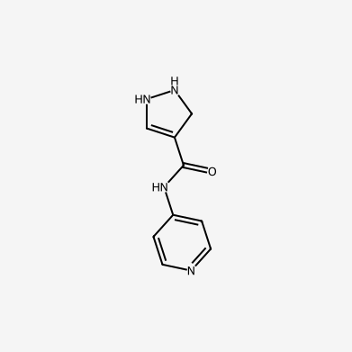 O=C(Nc1ccncc1)C1=CNNC1